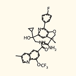 Cc1cnc2c(OC(F)(F)F)cc(C(=O)NCC(O)(c3cc4c(c(-c5ccc(F)cc5)n3)OC[C@]4(C)C(N)=O)C3CC3)cc2c1